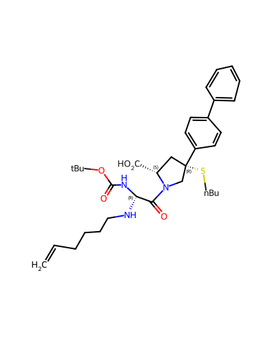 C=CCCCCN[C@H](NC(=O)OC(C)(C)C)C(=O)N1C[C@](SCCCC)(c2ccc(-c3ccccc3)cc2)C[C@H]1C(=O)O